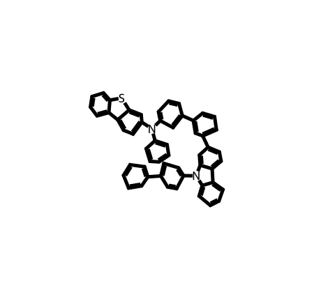 c1ccc(-c2ccc(-n3c4ccccc4c4ccc(-c5cccc(-c6cccc(N(c7ccccc7)c7ccc8c(c7)sc7ccccc78)c6)c5)cc43)cc2)cc1